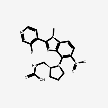 Cn1c(-c2ccncc2F)nc2c(N3CCC[C@H]3CNC(=O)O)c([N+](=O)[O-])ccc21